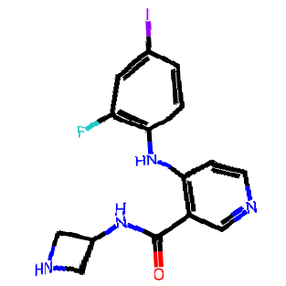 O=C(NC1CNC1)c1cnccc1Nc1ccc(I)cc1F